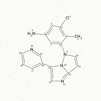 Cc1c(Cl)cc(N)cc1-n1ccc2ncc(-c3cccnc3)n21